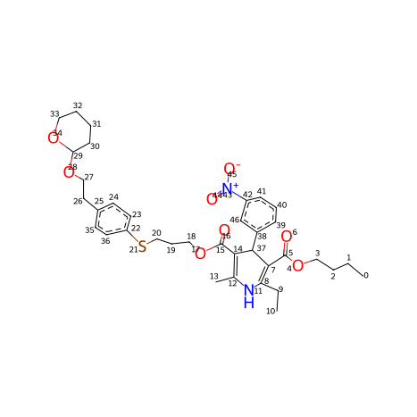 CCCCOC(=O)C1=C(CC)NC(C)=C(C(=O)OCCCSc2ccc(CCOC3CCCCO3)cc2)C1c1cccc([N+](=O)[O-])c1